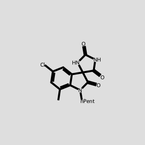 CCCCCN1C(=O)C2(NC(=O)NC2=O)c2cc(Cl)cc(C)c21